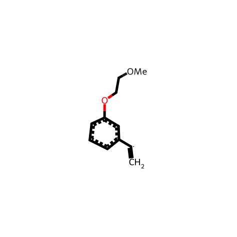 C=[C]c1cccc(OCCOC)c1